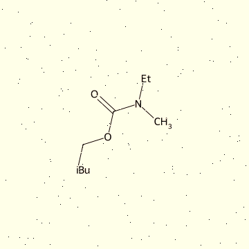 CCC(C)COC(=O)N(C)CC